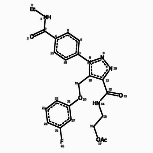 CCNC(=O)c1ccc(-n2nnc(C(=O)NCCOC(C)=O)c2COc2cccc(F)c2)cc1